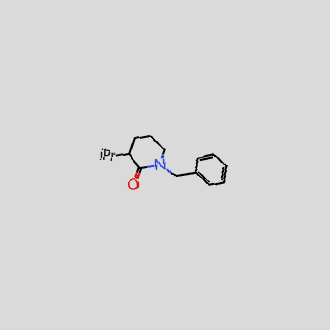 CC(C)C1CCCN(Cc2ccccc2)C1=O